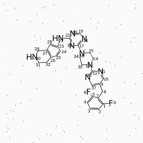 Fc1cccc(F)c1Cc1cnc(N2CCN(c3ncnc(Nc4ccc5c(c4)CNCC5)n3)CC2)nc1